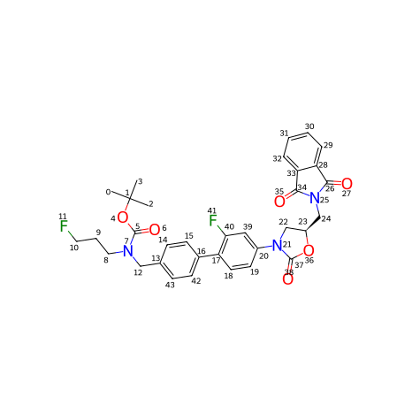 CC(C)(C)OC(=O)N(CCCF)Cc1ccc(-c2ccc(N3C[C@@H](CN4C(=O)c5ccccc5C4=O)OC3=O)cc2F)cc1